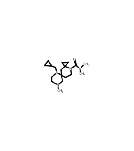 CN1CCN(CC2CC2)C2(CCN(C(=O)N(C)C)C3(CC3)C2)C1